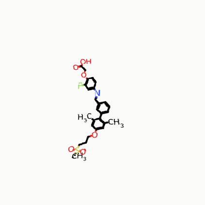 Cc1cc(OCCCS(C)(=O)=O)cc(C)c1-c1cccc(C=Nc2ccc(OCC(=O)O)c(F)c2)c1